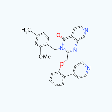 COc1cc(C)ccc1Cn1c(COc2ccccc2-c2ccncc2)nc2cnccc2c1=O